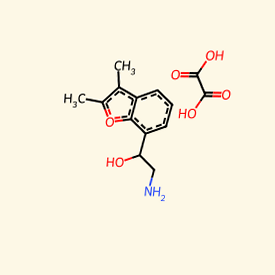 Cc1oc2c(C(O)CN)cccc2c1C.O=C(O)C(=O)O